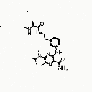 CNC(C)C(=O)NCCc1cccc(Nc2nc(N(C)C(C)C)c(C)nc2C(N)=O)c1